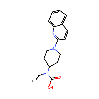 CCN(C(=O)O)C1CCN(c2ccc3ccccc3n2)CC1